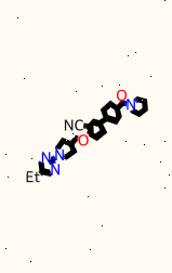 CCc1cnc(N2CCC(COc3ccc(C4=CCC(C(=O)N5CCCCC5)CC4)cc3C#N)CC2)nc1